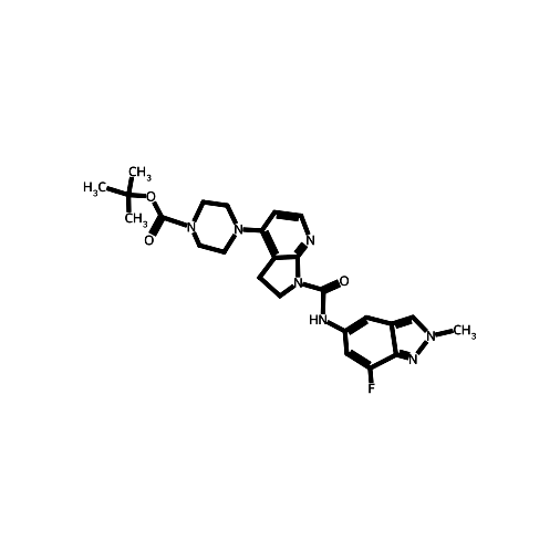 Cn1cc2cc(NC(=O)N3CCc4c(N5CCN(C(=O)OC(C)(C)C)CC5)ccnc43)cc(F)c2n1